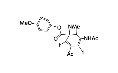 CNC1(C(=O)Oc2ccc(OC)cc2)C(I)=C(C(C)=O)C(I)=C(NC(C)=O)C1I